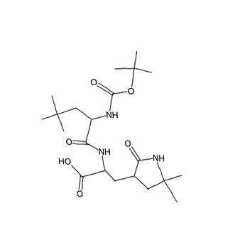 CC(C)(C)CC(NC(=O)OC(C)(C)C)C(=O)NC(CC1CC(C)(C)NC1=O)C(=O)O